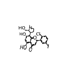 CN1CCC(c2c(O)cc(O)c3c(=O)cc(-c4cc(I)ccc4Cl)oc23)C1CO